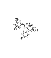 CC1(O)CC(c2ccc(F)cc2)=C(C=CC2CC(O)CC(=O)O2)C(C)(C)C1